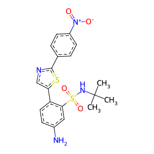 CC(C)(C)NS(=O)(=O)c1cc(N)ccc1-c1cnc(-c2ccc([N+](=O)[O-])cc2)s1